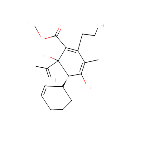 C=C(C)C1(O)C(C(=O)OC)=C(CCC)C(C)=C(O)[C@H]1C1C=CCCC1